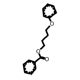 O=C(OCCCCOc1ccccc1)c1[c]cc[c]c1